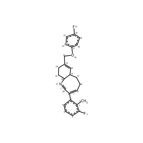 Cc1c(F)cccc1C1=C/CCC2C=C(COc3ccc(F)cn3)CCC2/N=C\1